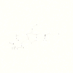 CCOC(=O)Oc1ccc(-c2n[nH]c(=O)[nH]2)cc1CC